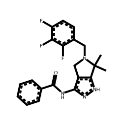 CC1(C)c2[nH]nc(NC(=O)c3ccccc3)c2CN1Cc1ccc(F)c(F)c1F